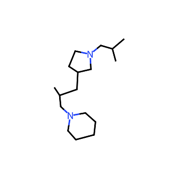 CC(C)CN1CCC(CC(C)CN2CCCCC2)C1